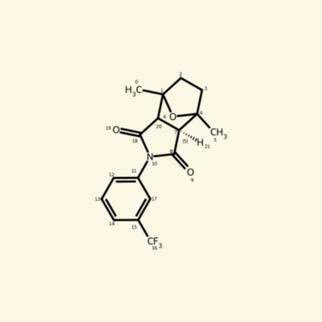 CC12CCC(C)(O1)[C@H]1C(=O)N(c3cccc(C(F)(F)F)c3)C(=O)C12